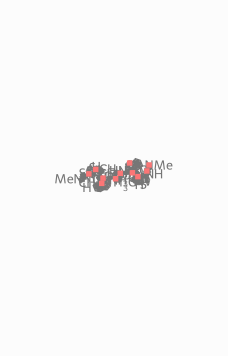 CNCC(=O)N[C@H]1CCS[C@H]2CC(C)(C)[C@@H](C(=O)N[C@H]3c4ccccc4CC[C@H]3C(=O)N[C@H]3CC[C@H](NC(=O)[C@@H]4CCc5ccccc5[C@@H]4NC(=O)[C@H]4N5C[C@@H](NC(=S)[C@H](C)NC)CCS[C@H]5CC4(C)C)CC3)N2C1